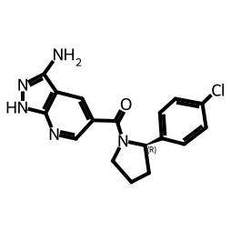 Nc1n[nH]c2ncc(C(=O)N3CCC[C@@H]3c3ccc(Cl)cc3)cc12